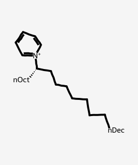 CCCCCCCCCCCCCCCCC[C@H](CCCCCCCC)[n+]1ccccc1